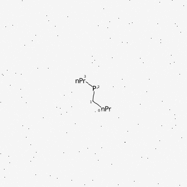 CCCC[P]CCC